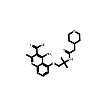 Cc1nc2cccc(OCC(C)(C)NC(=O)CC3CCOCC3)c2c(N)c1C(=O)O